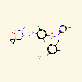 COc1ccc(CN(c2ncc(F)s2)S(=O)(=O)c2cc(Cl)c(NC[C@H](CC3(CO)CC3)N(C)C(=O)O)cc2F)c(OC)c1